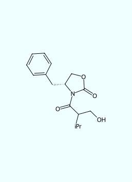 CC(C)C(CO)C(=O)N1C(=O)OC[C@H]1Cc1ccccc1